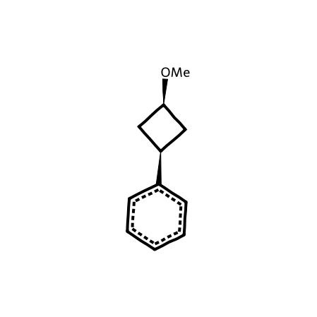 CO[C@H]1C[C@@H](c2ccccc2)C1